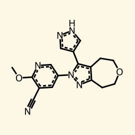 COc1ncc(-n2nc3c(c2-c2cn[nH]c2)CCOCC3)cc1C#N